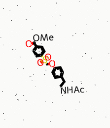 COC(=O)c1ccc(S(=O)(=O)COc2ccc(CCNC(C)=O)cc2)cc1